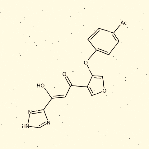 CC(=O)c1ccc(Oc2cocc2C(=O)C=C(O)c2nc[nH]n2)cc1